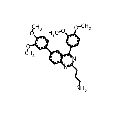 COc1ccc(-c2ccc3nc(CCCN)nc(-c4ccc(OC)c(OC)c4)c3c2)cc1OC